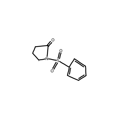 O=C1CC[CH]N1S(=O)(=O)c1ccccc1